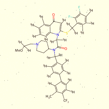 [2H]c1c([2H])c(F)c(F)c(C([2H])([2H])Sc2c([2H])c(=O)c3c([2H])c([2H])c([2H])c([2H])c3n2C([2H])([2H])C(=O)N(C2CCN(CC([2H])([2H])OC)CC2)C([2H])([2H])c2c([2H])c([2H])c(-c3c([2H])c([2H])c(C(F)(F)F)c(C)c3[2H])c([2H])c2[2H])c1[2H]